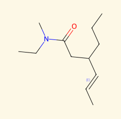 C/C=C/C(CCC)CC(=O)N(C)CC